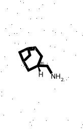 NC[C@H]1CC=C2CC(C2)C1